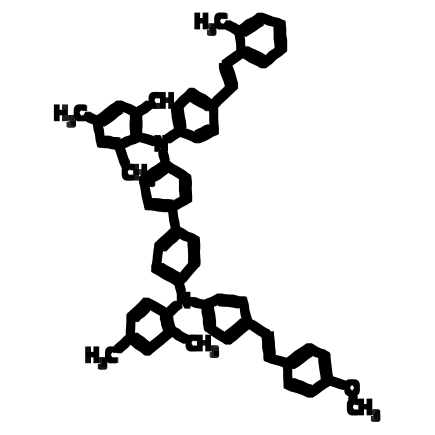 COc1ccc(/C=C/c2ccc(N(c3ccc(-c4ccc(N(c5ccc(/C=C/c6ccccc6C)cc5)c5c(C)cc(C)cc5C)cc4)cc3)c3ccc(C)cc3C)cc2)cc1